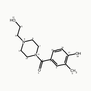 Cc1cc(C(=O)N2CCN(CCO)CC2)ccc1O